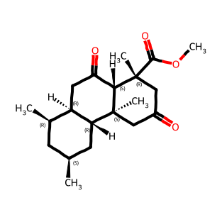 COC(=O)[C@]1(C)CC(=O)C[C@@]2(C)[C@@H]3C[C@@H](C)C[C@@H](C)[C@H]3CC(=O)[C@@H]21